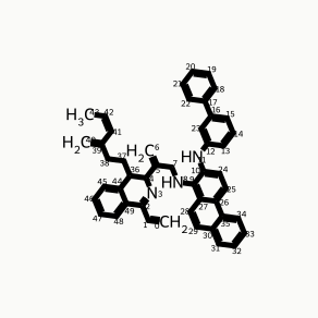 C=CC1=NC(C(=C)CNc2c(Nc3cccc(-c4ccccc4)c3)ccc3c2ccc2ccccc23)C(CCC(=C)/C=C\C)c2ccccc21